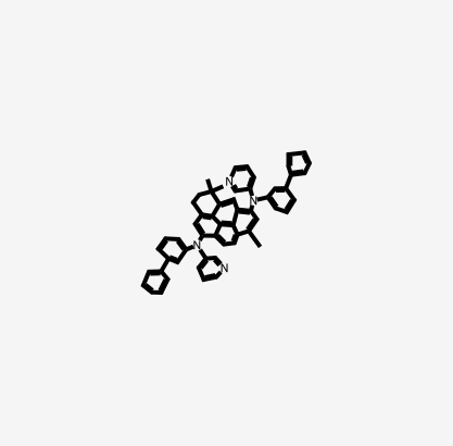 Cc1cc(N(c2cccnc2)c2cccc(-c3ccccc3)c2)c2cc3c4c(cc(N(c5cccnc5)c5cccc(-c6ccccc6)c5)c5ccc1c2c54)CCC3(C)C